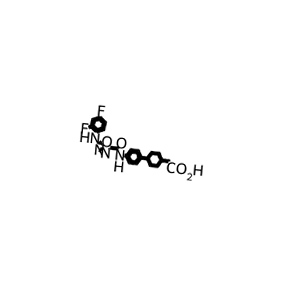 O=C(O)CC1CCC(c2ccc(NC(=O)c3nnc(Nc4ccc(F)cc4F)o3)cc2)CC1